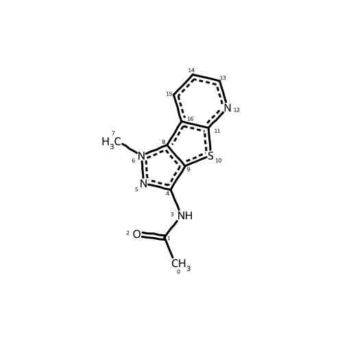 CC(=O)Nc1nn(C)c2c1sc1ncccc12